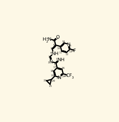 N=C(/N=C\N/C=C(/C(N)=O)c1ccc(F)nc1)c1cc(C2CC2)nc(C(F)(F)F)c1